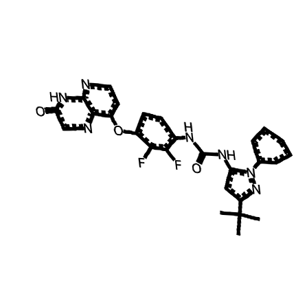 CC(C)(C)c1cc(NC(=O)Nc2ccc(Oc3ccnc4[nH]c(=O)cnc34)c(F)c2F)n(-c2ccccc2)n1